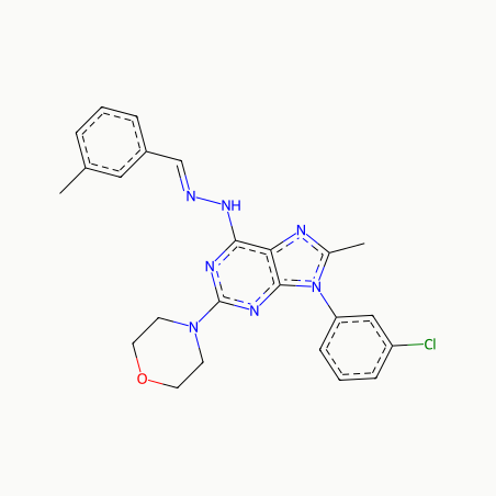 Cc1cccc(/C=N/Nc2nc(N3CCOCC3)nc3c2nc(C)n3-c2cccc(Cl)c2)c1